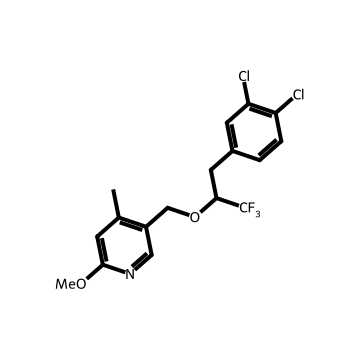 COc1cc(C)c(COC(Cc2ccc(Cl)c(Cl)c2)C(F)(F)F)cn1